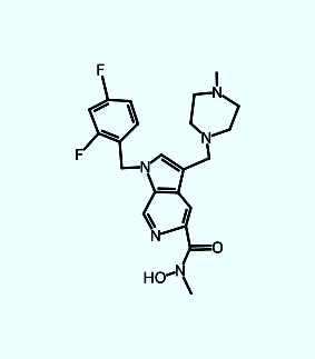 CN1CCN(Cc2cn(Cc3ccc(F)cc3F)c3cnc(C(=O)N(C)O)cc23)CC1